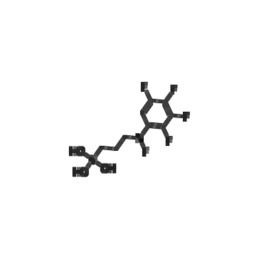 O[Si](O)(O)CCCN(F)c1cc(F)c(F)c(F)c1F